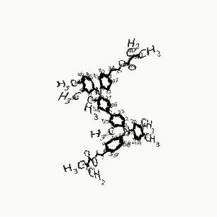 C=C(C)C(=O)OCCc1ccc(N(c2ccc(C)c(C)c2)c2ccc(-c3ccc(N(c4ccc(CCOC(=O)C(=C)C)cc4)c4ccc(C)c(C)c4)c(C)c3)cc2C)cc1